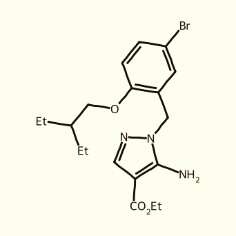 CCOC(=O)c1cnn(Cc2cc(Br)ccc2OCC(CC)CC)c1N